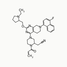 C=CC(=O)N1CCN(c2nc(OCC3CCCN3CC)nc3c2CCN(c2ccc(F)c4ccccc24)C3)CC1CC#N